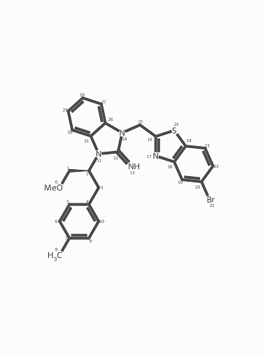 COC[C@H](Cc1ccc(C)cc1)n1c(=N)n(Cc2nc3cc(Br)ccc3s2)c2ccccc21